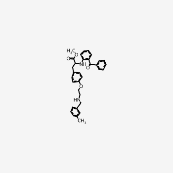 COC(=O)C(Cc1ccc(OCCNCc2cccc(C)c2)cc1)Nc1ccccc1C(=O)c1ccccc1